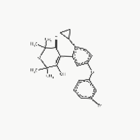 CC1(C)OC(C)(C)C(O)=C(c2cc(Oc3cccc(Br)c3)ccc2C2CC2)C1=O